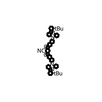 CC(C)(C)c1cccc2c1oc1c(N(c3ccccc3)c3ccc4cc5c(cc4c3)oc3c(C#N)c4oc6cc7cc(N(c8ccccc8)c8cccc9c8oc8c(C(C)(C)C)cccc89)ccc7cc6c4cc35)cccc12